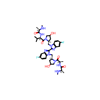 CN[C@H](C)C(=O)N[C@H](C)C(=O)N1CC(O)C[C@H]1Cn1c(-c2nc3cc(F)ccc3n2C[C@@H]2CC(O)CN2C(=O)[C@H](NC(=O)[C@@H](C)NC)C(C)C)nc2cc(F)ccc21